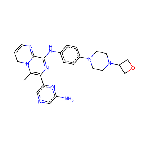 CC1=C(c2cncc(N)n2)N=C(Nc2ccc(N3CCN(C4COC4)CC3)cc2)C2=NC=CCN21